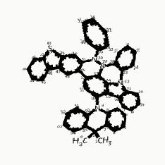 CC1(C)c2ccccc2N(c2cc3c4c5c2c2ccccc2n5-c2ccccc2B4N(c2ccccc2)c2cc4sc5ccccc5c4cc2-3)c2ccccc21